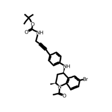 CC(=O)N1c2ccc(Br)cc2[C@H](Nc2ccc(C#CCNC(=O)OC(C)(C)C)cc2)C[C@@H]1C